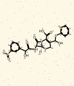 O=C(O)C1=C(C(O)Sc2ccccn2)CS[C@H]2C(NC(=O)C(O)c3cccc([N+](=O)[O-])c3)C(=O)N12